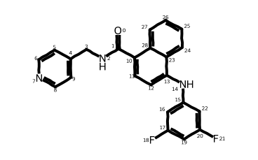 O=C(NCc1ccncc1)c1ccc(Nc2cc(F)cc(F)c2)c2ccccc12